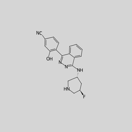 N#Cc1ccc(-c2nnc(N[C@H]3CNC[C@H](F)C3)c3ccccc23)c(O)c1